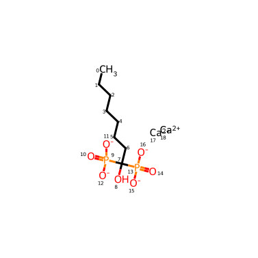 CCCCCCCC(O)(P(=O)([O-])[O-])P(=O)([O-])[O-].[Ca+2].[Ca+2]